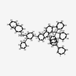 c1ccc(-c2ccc(-n3c4ccc(-c5ccc(Nc6ccc7ccccc7c6)c(-c6ccccc6)c5)cc4c4ccc5c(c43)C(c3ccccc3)(c3ccccc3)c3ccccc3-5)cc2)cc1